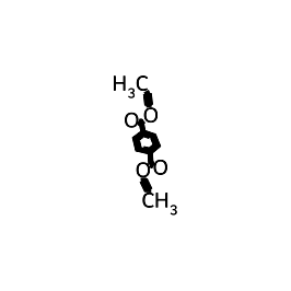 CC#COC(=O)c1ccc(C(=O)OC#CC)cc1